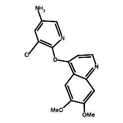 COc1cc2nccc(Oc3ncc(N)cc3Cl)c2cc1OC